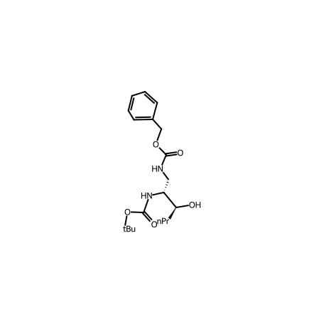 CCC[C@H](O)[C@@H](CNC(=O)OCc1ccccc1)NC(=O)OC(C)(C)C